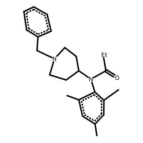 CCC(=O)N(c1c(C)cc(C)cc1C)C1CCN(Cc2ccccc2)CC1